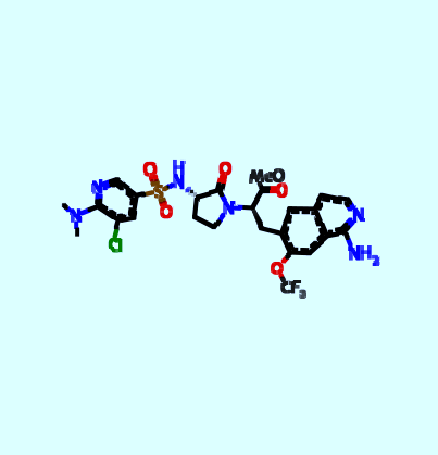 COC(=O)[C@@H](Cc1cc2ccnc(N)c2cc1OC(F)(F)F)N1CC[C@H](NS(=O)(=O)c2cnc(N(C)C)c(Cl)c2)C1=O